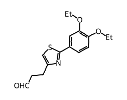 CCOc1ccc(-c2nc(CCC=O)cs2)cc1OCC